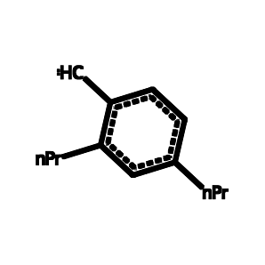 [CH]c1ccc(CCC)cc1CCC